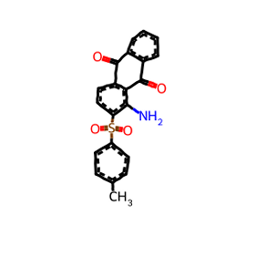 Cc1ccc(S(=O)(=O)c2ccc3c(c2N)C(=O)c2ccccc2C3=O)cc1